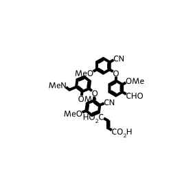 CNCc1cccc(Oc2cc(OC)ccc2C#N)c1OC.COc1ccc(C#N)c(Oc2cccc(C=O)c2OC)c1.O=C(O)C=CC(=O)O